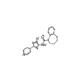 O=C(Nc1nc(-c2ccncc2)n[nH]1)C1CCCCc2ccccc21